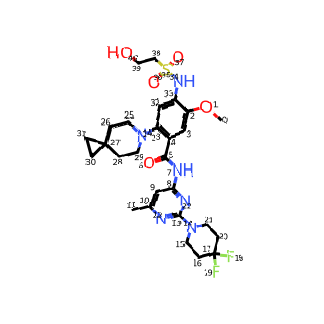 COc1cc(C(=O)Nc2cc(C)nc(N3CCC(F)(F)CC3)n2)c(N2CCC3(CC2)CC3)cc1NS(=O)(=O)CCO